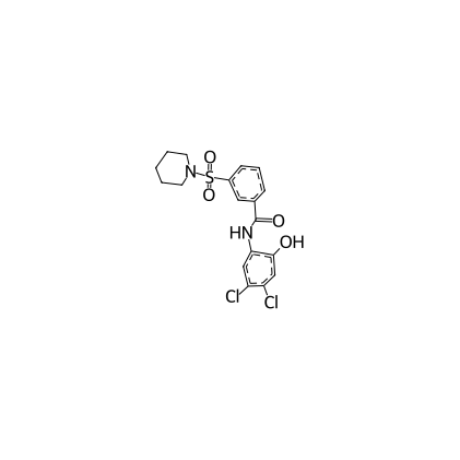 O=C(Nc1cc(Cl)c(Cl)cc1O)c1cccc(S(=O)(=O)N2CCCCC2)c1